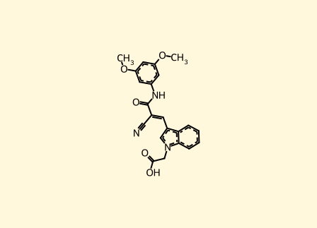 COc1cc(NC(=O)/C(C#N)=C/c2cn(CC(=O)O)c3ccccc23)cc(OC)c1